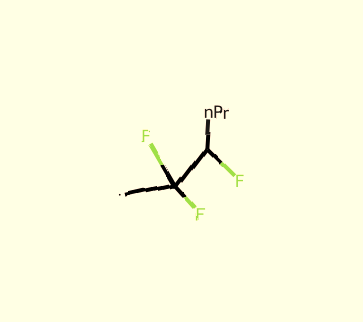 [CH2]C(F)(F)C(F)CCC